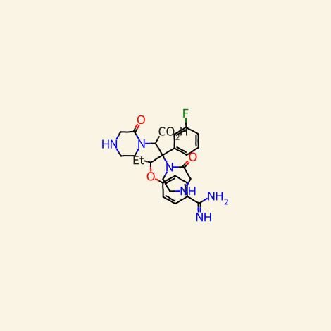 CCC(Oc1ccc(C(=N)N)cc1)C(c1cccc(F)c1)(C(C(=O)O)N1CCNCC1=O)N1CCNCC1=O